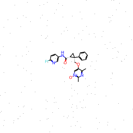 Cc1nc(C)[n+]([O-])cc1OC[C@@]1(c2ccccc2)C[C@H]1C(=O)Nc1ccc(F)nc1